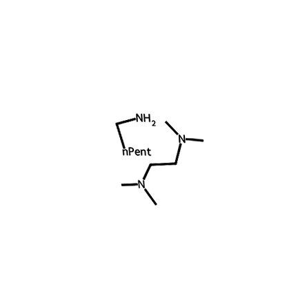 CCCCCCN.CN(C)CCN(C)C